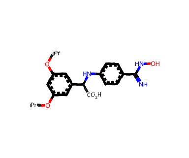 CC(C)Oc1cc(OC(C)C)cc(C(Nc2ccc(C(=N)NO)cc2)C(=O)O)c1